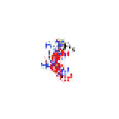 CC1=C(c2cccc(CCC(=O)NC(CCC(=O)NC(CCC(=O)NCC(N)C(=O)NC(CSC3CC(=O)N(CCNC(=O)CCc4ccc(O)cc4)C3=O)C(=O)O)C(=O)O)C(=O)O)c2)CN(C[C@H](N)c2ccccc2)C(=O)N1Cc1c(F)cccc1F